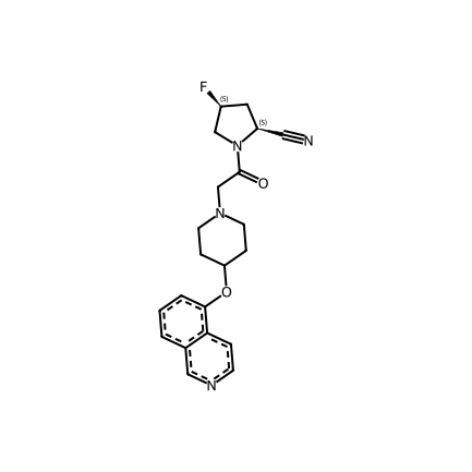 N#C[C@@H]1C[C@H](F)CN1C(=O)CN1CCC(Oc2cccc3cnccc23)CC1